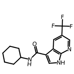 O=C(NC1CCCCC1)c1c[nH]c2ncc(C(F)(F)F)cc12